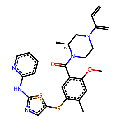 C=CC(=C)N1CCN(C(=O)c2cc(Sc3cnc(Nc4ccccn4)s3)c(C)cc2OC)[C@@H](C)C1